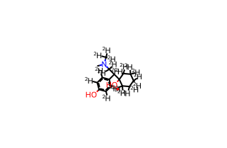 [2H]c1c([2H])c(C([2H])(C([2H])([2H])N(C)C([2H])([2H])[2H])C2(O)C([2H])([2H])C([2H])([2H])C([2H])([2H])C([2H])([2H])C2([2H])[2H])c([2H])c([2H])c1O